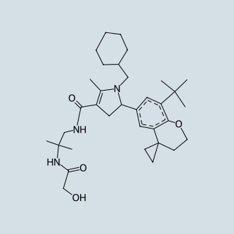 CC1=C(C(=O)NCC(C)(C)NC(=O)CO)CC(c2cc(C(C)(C)C)c3c(c2)C2(CCO3)CC2)N1CC1CCCCC1